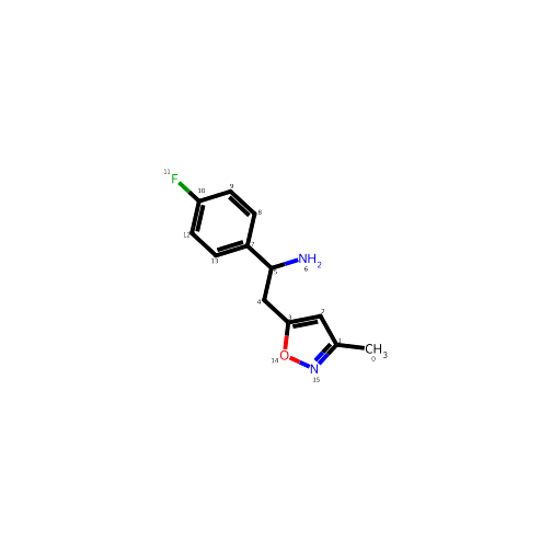 Cc1cc(CC(N)c2ccc(F)cc2)on1